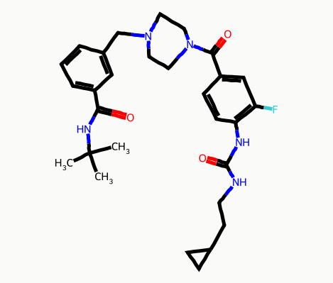 CC(C)(C)NC(=O)c1cccc(CN2CCN(C(=O)c3ccc(NC(=O)NCCC4CC4)c(F)c3)CC2)c1